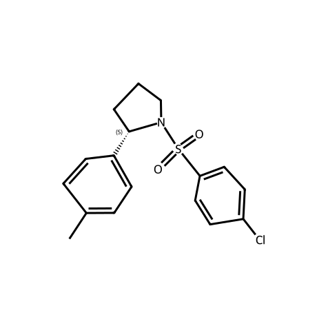 Cc1ccc([C@@H]2CCCN2S(=O)(=O)c2ccc(Cl)cc2)cc1